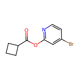 O=C(Oc1cc(Br)ccn1)C1CCC1